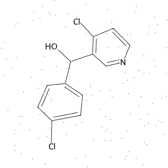 OC(c1ccc(Cl)cc1)c1cnccc1Cl